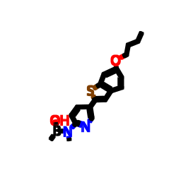 CCCCOc1ccc2cc(-c3ccc(N(C)B(C)O)nc3)sc2c1